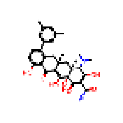 Cc1cc(C)cc(-c2ccc(O)c3c2C[C@@H]2C[C@@H]4[C@@H](N(C)C)C(O)=C(C(N)=O)C(=O)[C@]4(O)C(O)=C2C3=O)c1